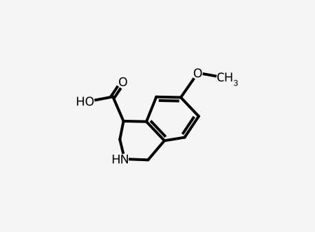 COc1ccc2c(c1)C(C(=O)O)CNC2